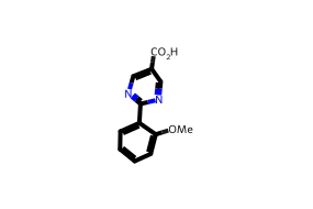 COc1ccccc1-c1ncc(C(=O)O)cn1